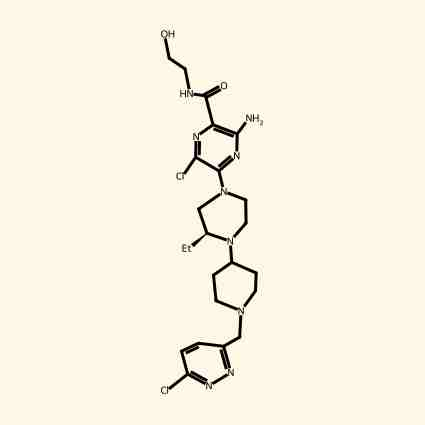 CC[C@H]1CN(c2nc(N)c(C(=O)NCCO)nc2Cl)CCN1C1CCN(Cc2ccc(Cl)nn2)CC1